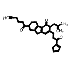 C#CCCCC(=O)C1CCC2=C(CC3=C2C(=O)C(CC(=C)C)C(CCC(=O)C2=CC=CC2)=C3)C1